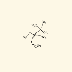 CC(C)(C)C(N)(CO)CO